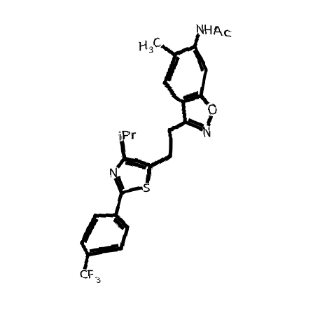 CC(=O)Nc1cc2onc(CCc3sc(-c4ccc(C(F)(F)F)cc4)nc3C(C)C)c2cc1C